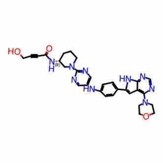 O=C(C#CCO)N[C@@H]1CCCN(c2ncc(Nc3ccc(-c4cc5c(N6CCOCC6)ncnc5[nH]4)cc3)cn2)C1